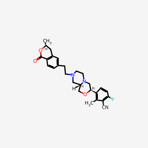 Cc1c([C@@H]2CN3CCN(CCc4ccc5c(c4)C[C@H](C)OC5=O)C[C@H]3CO2)ccc(F)c1C#N